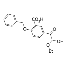 CCOC(O)C(=O)c1ccc(OCc2ccccc2)c(C(=O)O)c1